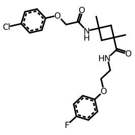 CC1(NC(=O)COc2ccc(Cl)cc2)CC(C)(C(=O)NCCOc2ccc(F)cc2)C1